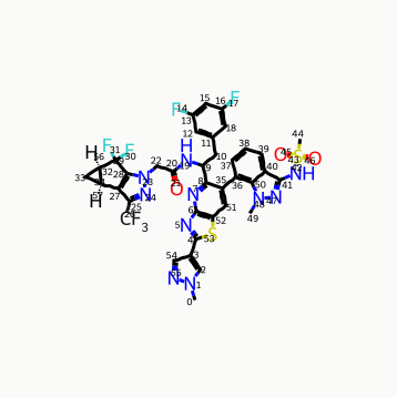 Cn1cc(-c2nc3nc(C(Cc4cc(F)cc(F)c4)NC(=O)Cn4nc(C(F)(F)F)c5c4C(F)(F)[C@@H]4C[C@H]54)c(-c4cccc5c(NS(C)(=O)=O)nn(C)c45)cc3s2)cn1